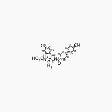 C[C@@]1(CNC(=O)O)CN(C(=O)C2CCN(c3ccc(C#N)cc3)CC2)C[C@H]1c1ccc(Cl)cc1